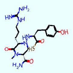 CN1C(=O)[C@H](CCCNC(=N)N)N(N[C@@H](Cc2ccc(O)cc2)C(=O)S)C[C@@H]1C(N)=O